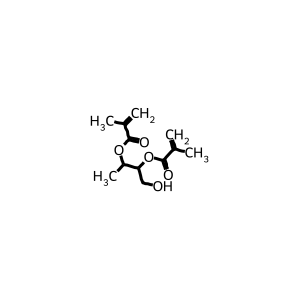 C=C(C)C(=O)OC(C)C(CO)OC(=O)C(=C)C